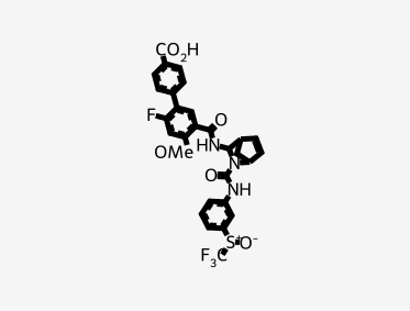 COc1cc(F)c(-c2ccc(C(=O)O)cc2)cc1C(=O)NC1C2C=CC(C2)N1C(=O)Nc1cccc([S+]([O-])C(F)(F)F)c1